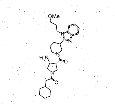 COCCCn1c(C2CCCN(C(=O)[C@@H]3CN(C(=O)CC4CCCCC4)C[C@H]3N)C2)nc2ccccc21